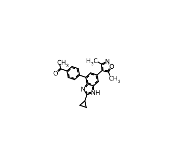 CC(=O)c1ccc(-c2cc(-c3c(C)noc3C)cc3[nH]c(C4CC4)nc23)cc1